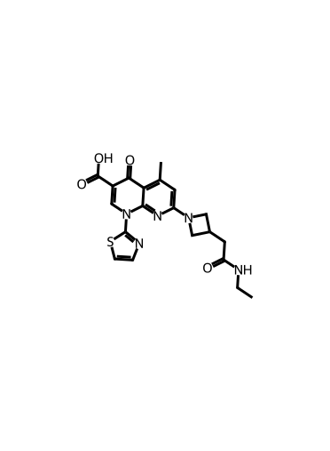 CCNC(=O)CC1CN(c2cc(C)c3c(=O)c(C(=O)O)cn(-c4nccs4)c3n2)C1